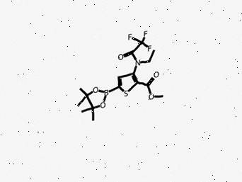 CCN(C(=O)C(F)(F)F)c1cc(B2OC(C)(C)C(C)(C)O2)sc1C(=O)OC